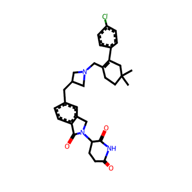 CC1(C)CCC(CN2CC(Cc3ccc4c(c3)CN(C3CCC(=O)NC3=O)C4=O)C2)=C(c2ccc(Cl)cc2)C1